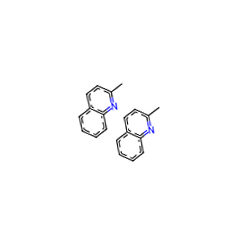 Cc1ccc2ccccc2n1.Cc1ccc2ccccc2n1